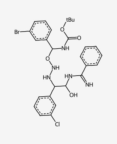 CC(C)(C)OC(=O)NC(ONNC(c1cccc(Cl)c1)C(O)NC(=N)c1ccccc1)c1cccc(Br)c1